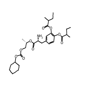 CCC(C)C(=O)Oc1ccc(C[C@H](N)C(=O)O[C@@H](C)COC(=O)OC2CCCCC2)cc1OC(=O)C(C)CC